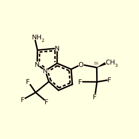 C[C@H](Oc1ccc(C(F)(F)F)n2nc(N)nc12)C(F)(F)F